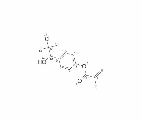 C=C(C)C(=O)Oc1ccc(C(O)C(C)(C)Cl)cc1